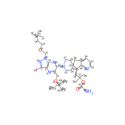 CC(C)[Si](OCc1nc2c(I)nn(COCC[Si](C)(C)C)c2nc1N1CCC2(CC1)Cc1cccnc1[C@H]2CC(C)(C)OC(N)=O)(C(C)C)C(C)C